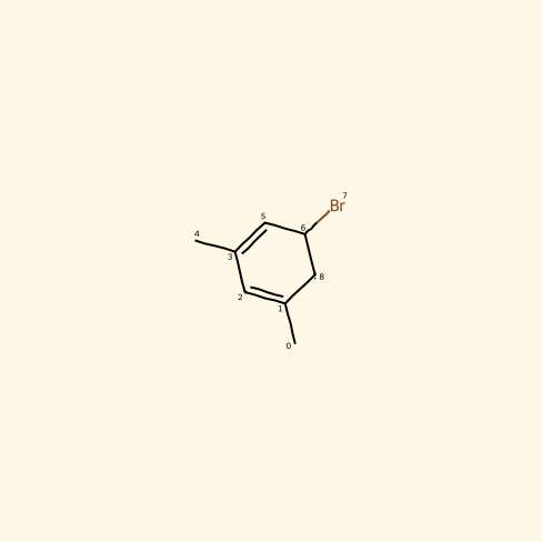 CC1=CC(C)=CC(Br)[CH]1